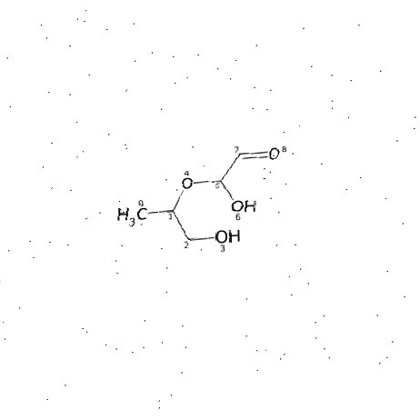 CC(CO)OC(O)C=O